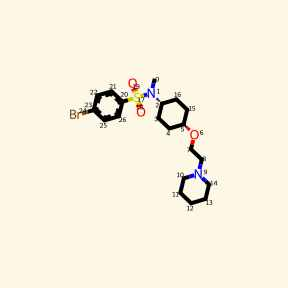 CN([C@H]1CC[C@H](OCCN2CCCCC2)CC1)S(=O)(=O)c1ccc(Br)cc1